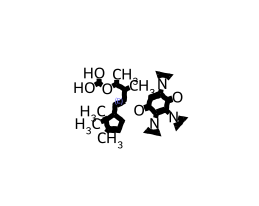 CC1=CCC(/C=C/C(C)C(C)OC(O)O)C1(C)C.O=C1C=C(N2CC2)C(=O)C(N2CC2)=C1N1CC1